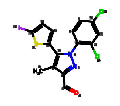 Cc1c(C=O)nn(-c2ccc(Cl)cc2Cl)c1-c1ccc(I)s1